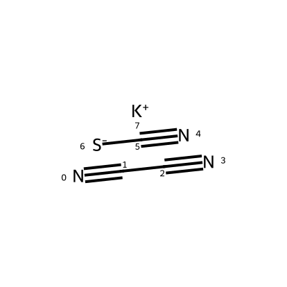 N#CC#N.N#C[S-].[K+]